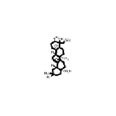 CC(=O)OC[C@]1(C)C2CC[C@]3(C)[C@H](CC=C4[C@H]5CC(C)(C)CC[C@]5(C(=O)O)CC[C@]43C)[C@@]2(C)CC[C@@H]1OC(C)=O